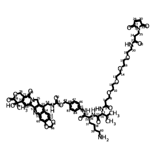 CC(C)[C@H](NC(=O)CCOCCOCCOCCOCCNC(=O)CCN1C(=O)C=CC1=O)C(=O)N[C@@H](CCCCN)C(=O)Nc1ccc(COC(=O)NCc2c3c(nc4cc5c(cc24)OCO5)-c2cc4c(c(=O)n2C3)COC(=O)[C@@]4(C)O)cc1